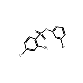 Cc1ccc(S(=O)(=O)Oc2cc(Br)ccn2)c(C)c1